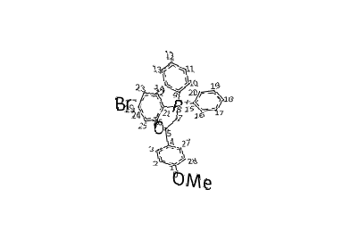 COc1ccc(C(=O)C[P+](c2ccccc2)(c2ccccc2)c2ccccc2)cc1.[Br-]